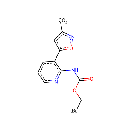 CC(C)(C)COC(=O)Nc1ncccc1-c1cc(C(=O)O)no1